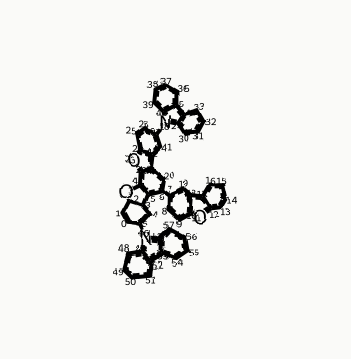 C1=CC2Oc3c(c(-c4ccc5oc6ccccc6c5c4)cc4c3oc3ccc(-n5c6ccccc6c6ccccc65)cc34)C2C=C1n1c2ccccc2c2ccccc21